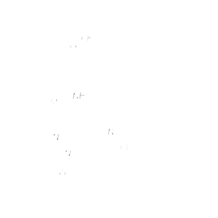 Cc1ccc(-c2cc(C(=O)Nc3ccc(OC(F)(F)F)cc3)cnc2N2CCOC2)cn1